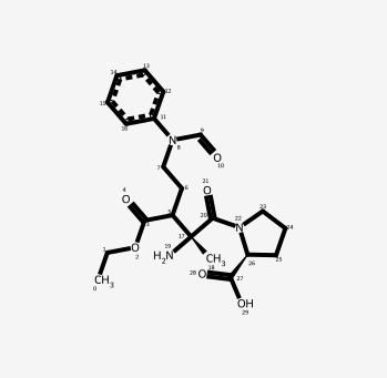 CCOC(=O)C(CCN(C=O)c1ccccc1)[C@@](C)(N)C(=O)N1CCC[C@H]1C(=O)O